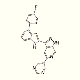 Fc1ccc(-c2cccc3[nH]c(-c4n[nH]c5cnc(-c6cncnc6)cc45)cc23)cc1